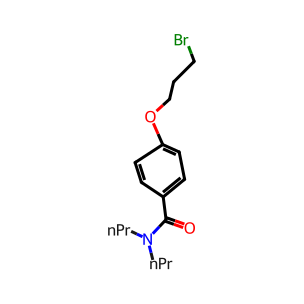 CCCN(CCC)C(=O)c1ccc(OCCCBr)cc1